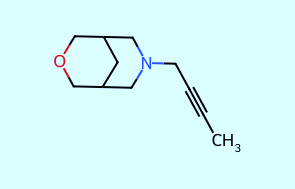 CC#CCN1CC2COCC(C2)C1